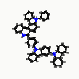 c1ccc(-n2c3ccccc3c3c4c(ccc32)c(-c2ccc(-n3c5ccccc5c5cc(-n6c7ccccc7c7ccccc76)ccc53)cc2)nc2ccccc24)cc1